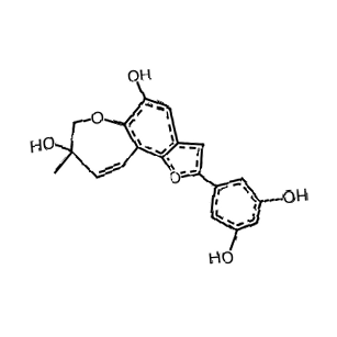 CC1(O)C=Cc2c(c(O)cc3cc(-c4cc(O)cc(O)c4)oc23)OC1